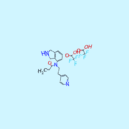 C=CC(=O)N(CCc1ccncc1)c1cccc2c1CNC2.O=C(O)C(F)(F)F.O=C(O)C(F)(F)F